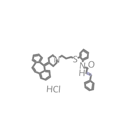 Cl.O=C(/C=C/c1ccccc1)Nc1ccccc1SCCCN1CCC(=C2c3ccccc3C=Cc3ccccc32)CC1